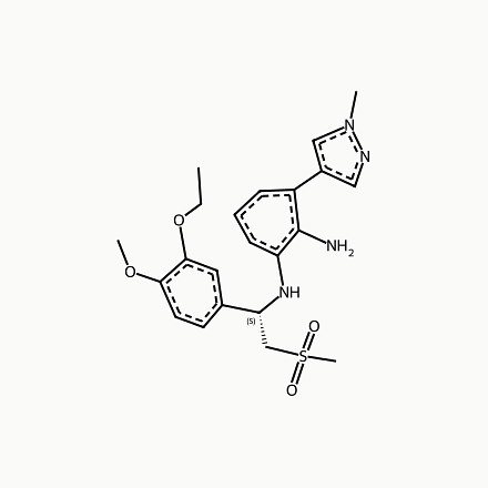 CCOc1cc([C@@H](CS(C)(=O)=O)Nc2cccc(-c3cnn(C)c3)c2N)ccc1OC